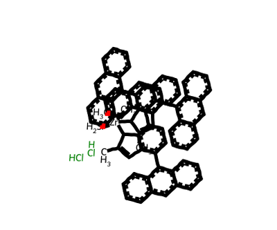 CC1=Cc2c(-c3c4ccccc4cc4ccccc34)ccc(-c3c4ccccc4cc4ccccc34)c2[CH]1[Zr]([CH3])([CH3])(=[SiH2])[CH]1C(C)=Cc2c(-c3c4ccccc4cc4ccccc34)ccc(-c3c4ccccc4cc4ccccc34)c21.Cl.Cl